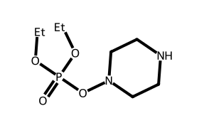 CCOP(=O)(OCC)ON1CCNCC1